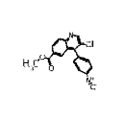 [C-]#[N+]c1ccc(-c2c(Cl)cnc3ccc(C(=O)OC)cc23)cc1